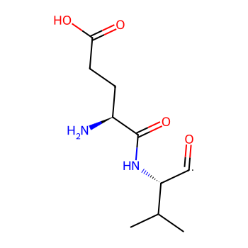 CC(C)[C@@H]([C]=O)NC(=O)[C@@H](N)CCC(=O)O